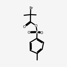 Cc1ccc(S(=O)(=O)OC(=O)C(C)(C)Br)cc1